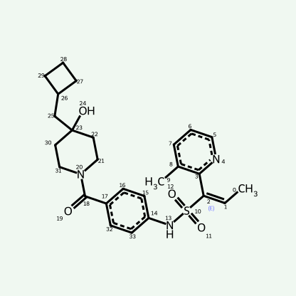 C/C=C(\c1ncccc1C)S(=O)(=O)Nc1ccc(C(=O)N2CCC(O)(CC3CCC3)CC2)cc1